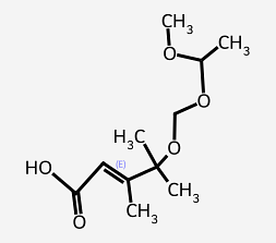 COC(C)OCOC(C)(C)/C(C)=C/C(=O)O